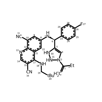 C=C(CC)N1C=C([C@@H](Nc2cc(C#N)c3ncc(C#N)c(NCC(C)(C)C)c3c2)c2ccc(F)cc2)NN1